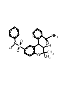 CCN(c1ccccc1)S(=O)(=O)c1ccc2c(c1)C(c1ncccc1C(N)=O)C(O)C(C)(C)O2